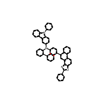 c1ccc(-c2nc3c(ccc4c5ccccc5c(-c5ccc(N(c6ccc7c(c6)c6ccccc6n7-c6ccccc6)c6ccccc6-c6ccccc6)cc5)cc43)o2)cc1